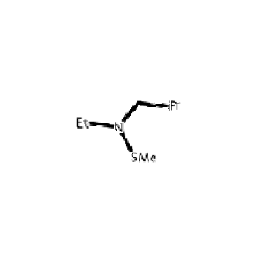 CCN(CC(C)C)SC